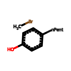 CBr.CCCCCc1ccc(O)cc1